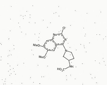 COc1cc2nc(Cl)nc(N3CCC(NC(=O)O)C3)c2cc1OC